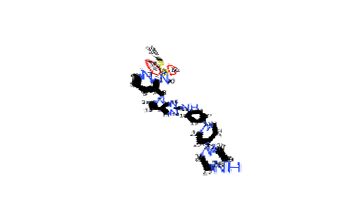 CN(c1ncccc1Cn1ccc2cnc(Nc3ccc(N4CCC(N5CCNCC5)CC4)cc3)nc21)S(C)(=O)=O